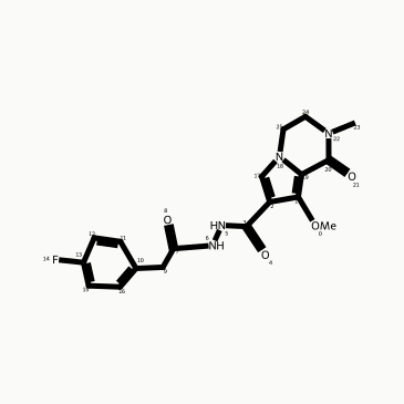 COc1c(C(=O)NNC(=O)Cc2ccc(F)cc2)cn2c1C(=O)N(C)CC2